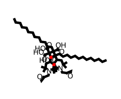 CCCCCCCCCCCCCC(CC1CC(C)(C)N(CC2CO2)C(C)(C)C1)(C1CC(C)(C)N(CC2CO2)C(C)(C)C1)C(CCCCCCCCCCCCC)(C(=O)O)C(C(=O)O)(C(=O)O)C(=O)O